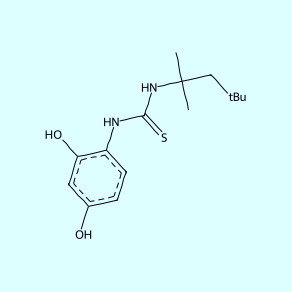 CC(C)(C)CC(C)(C)NC(=S)Nc1ccc(O)cc1O